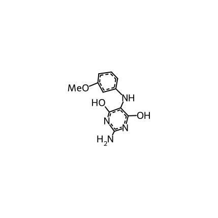 COc1cccc(Nc2c(O)nc(N)nc2O)c1